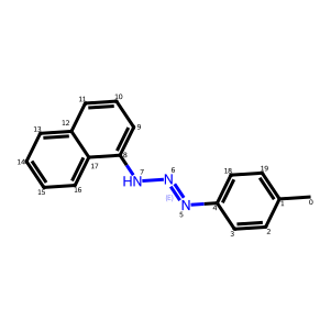 Cc1ccc(/N=N/Nc2cccc3ccccc23)cc1